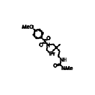 CNC(=O)NCCC(C)(C)CN(CC(C)C)S(=O)(=O)c1ccc(OC)cc1